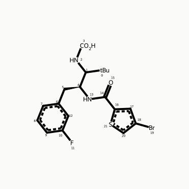 CC(C)(C)C(NC(=O)O)[C@H](Cc1cccc(F)c1)NC(=O)c1cc(Br)cs1